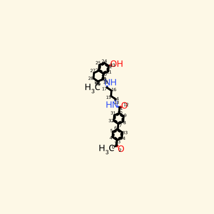 CC(=O)c1ccc(-c2ccc(C(=O)NCCCCN[C@H]3c4cc(O)ccc4CC[C@@H]3C)cc2)cc1